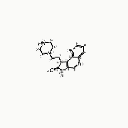 O=c1[nH]c2cnc3cccnc3c2n1CCN1CCNCC1